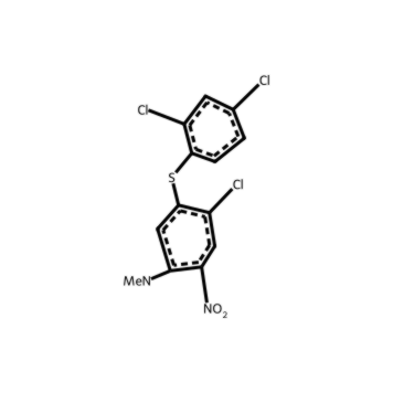 CNc1cc(Sc2ccc(Cl)cc2Cl)c(Cl)cc1[N+](=O)[O-]